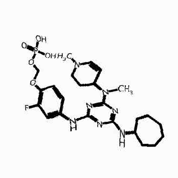 CN1C=CC(N(C)c2nc(Nc3ccc(OCOP(=O)(O)O)c(F)c3)nc(NC3CCCCCC3)n2)CC1